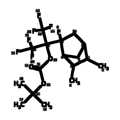 CC1C2CC(C1C)C(F)(C(OC(=O)OC(C)(C)C)(C(F)(F)F)C(F)(F)F)C2